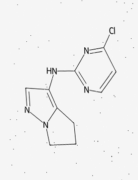 Clc1ccnc(Nc2cnn3c2CCC3)n1